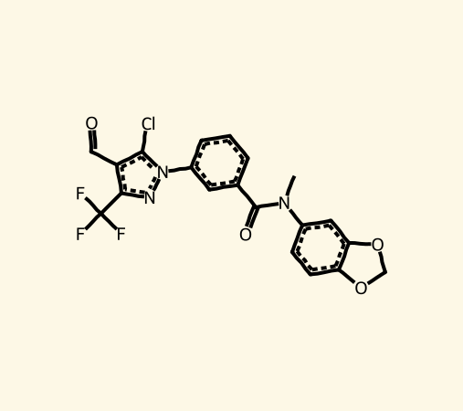 CN(C(=O)c1cccc(-n2nc(C(F)(F)F)c(C=O)c2Cl)c1)c1ccc2c(c1)OCO2